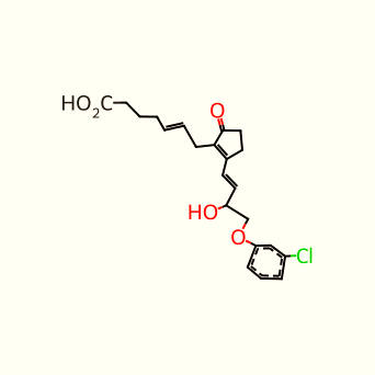 O=C(O)CCCC=CCC1=C(C=CC(O)COc2cccc(Cl)c2)CCC1=O